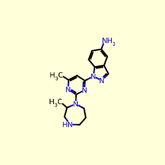 Cc1cc(-n2ncc3cc(N)ccc32)nc(N2CCCNCC2C)n1